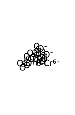 Cl.O=S(=O)([O-])CS(=O)(=O)[O-].O=S(=O)([O-])CS(=O)(=O)[O-].O=S(=O)([O-])CS(=O)(=O)[O-].[Cr+6]